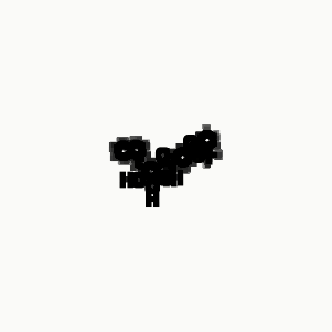 CC(C)(C)c1ccccc1S(=O)(=O)c1ccc(NC(=O)c2cc(Cc3cccc4ccccc34)c(O)c(O)c2O)cc1